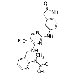 CN(c1ncccc1CNc1nc(Nc2ccc3c(c2)CC(=O)N3)ncc1C(F)(F)F)[S+](C)[O-]